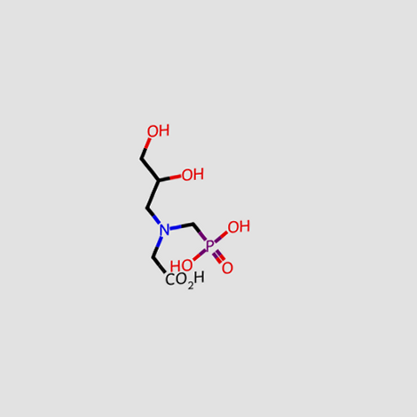 O=C(O)CN(CC(O)CO)CP(=O)(O)O